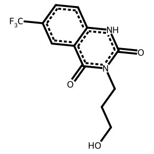 O=c1[nH]c2ccc(C(F)(F)F)cc2c(=O)n1CCCO